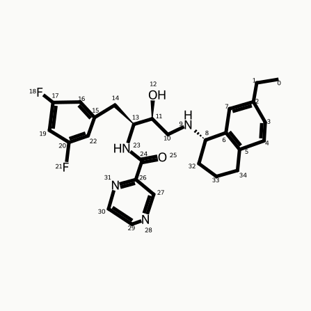 CCc1ccc2c(c1)[C@@H](NC[C@H](O)[C@H](Cc1cc(F)cc(F)c1)NC(=O)c1cnccn1)CCC2